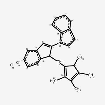 CC1=C(C)C(C)[C]([Ti+2][CH]2C(n3ccc4ccccc43)=Cc3ccccc32)=C1C.[Cl-].[Cl-]